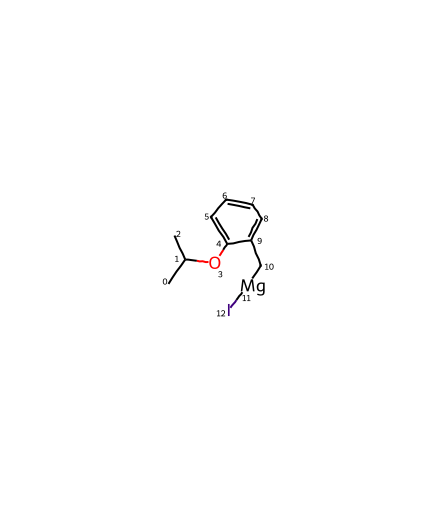 CC(C)Oc1ccccc1[CH2][Mg][I]